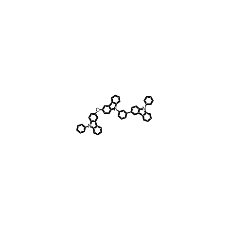 c1ccc(-n2c3ccccc3c3cc(Oc4ccc5c(c4)c4ccccc4n5-c4cccc(-c5ccc6c(c5)c5ccccc5n6-c5ccccc5)c4)ccc32)cc1